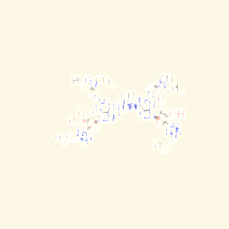 CCn1nnc([C@H]2O[C@@H](n3cnc4c(NCC(C)(C)CNc5nc(N6CC[C@@H](N(C)C)C6)nc6c5ncn6[C@@H]5O[C@H](c6nnn(CC)n6)[C@@H](O)[C@H]5O)nc(N5CC[C@@H](N(C)C)C5)nc43)[C@H](O)[C@@H]2O)n1